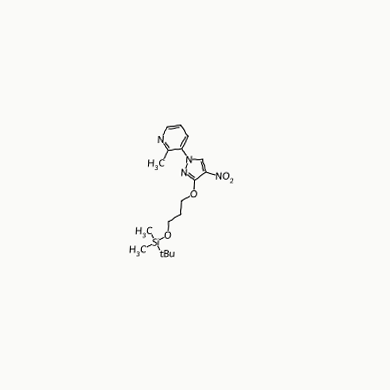 Cc1ncccc1-n1cc([N+](=O)[O-])c(OCCCO[Si](C)(C)C(C)(C)C)n1